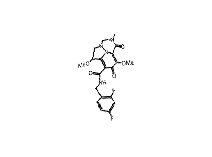 COc1c2n3c(c(C(=O)NCc4ccc(F)cc4F)c1=O)C(OC)CN3CN(C)C2=O